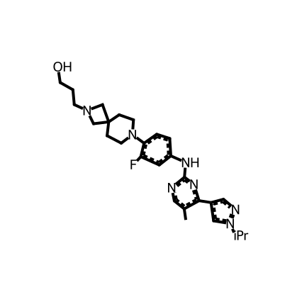 Cc1cnc(Nc2ccc(N3CCC4(CC3)CN(CCCO)C4)c(F)c2)nc1-c1cnn(C(C)C)c1